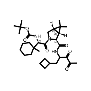 CC(=O)C(=O)C(CC1CCC1)NC(=O)[C@@H]1[C@@H]2[C@H](CN1C(=O)[C@@H](NC(=O)OC(C)(C)C)C1(C)CCCCC1)C2(C)C